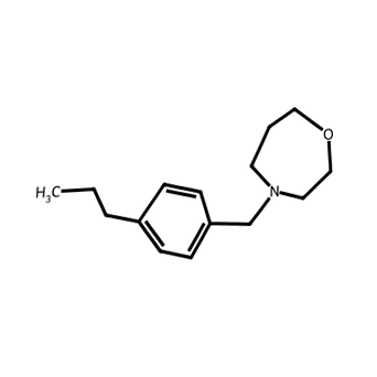 CCCc1ccc(CN2CCCOCC2)cc1